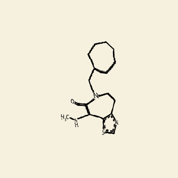 CNC1C(=O)N(CC2CCCCCC2)CCc2ncsc21